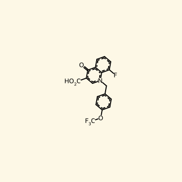 O=C(O)c1cn(Cc2ccc(OC(F)(F)F)cc2)c2c(F)cccc2c1=O